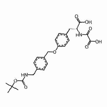 CC(C)(C)OC(=O)NCc1ccc(COc2ccc(C[C@@H](NC(=O)C(=O)O)C(=O)O)cc2)cc1